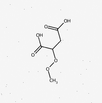 COOC(CC(=O)O)C(=O)O